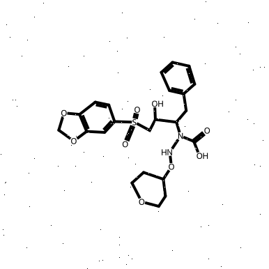 O=C(O)N(NOC1CCOCC1)C(Cc1ccccc1)C(O)CS(=O)(=O)c1ccc2c(c1)OCO2